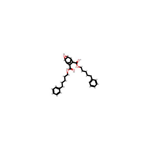 O=C(OCCCCCc1ccccc1)C1C2CC(C3OC23)C1C(=O)OCCCCCc1ccccc1